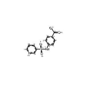 O=C(Cl)c1ccc(NS(=O)(=O)c2cccnc2)cc1